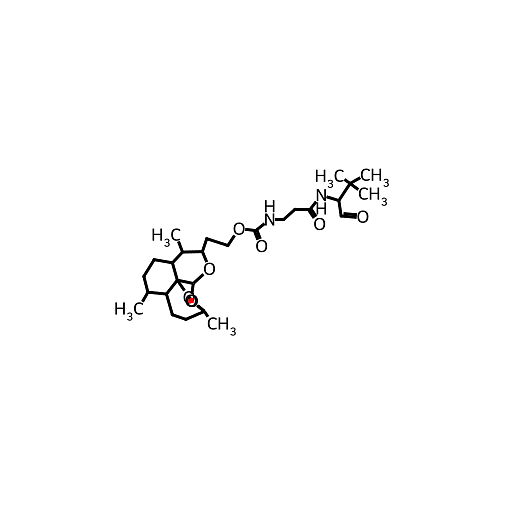 CC1CCC2C(C)C(CCOC(=O)NCCC(=O)NC(C=O)C(C)(C)C)OC3OC4(C)CCC1C32OO4